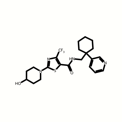 O=C(NCC1(c2cccnc2)CCCCC1)c1sc(N2CCC(O)CC2)nc1C(F)(F)F